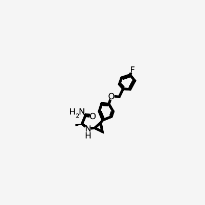 C[C@H](NC1CC1c1ccc(OCc2ccc(F)cc2)cc1)C(N)=O